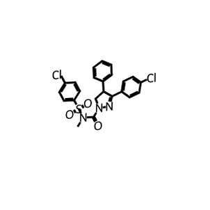 CN(C(=O)N1CC(c2ccccc2)C(c2ccc(Cl)cc2)=N1)S(=O)(=O)c1ccc(Cl)cc1